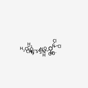 CC(C)(C)c1cnc(CSc2cnc(NC(=O)Cc3ccc(N(CCCl)CCCl)cc3[N+](=O)[O-])s2)o1